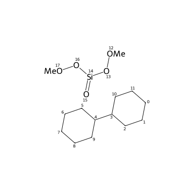 C1CCC(C2CCCCC2)CC1.COO[Si](=O)OOC